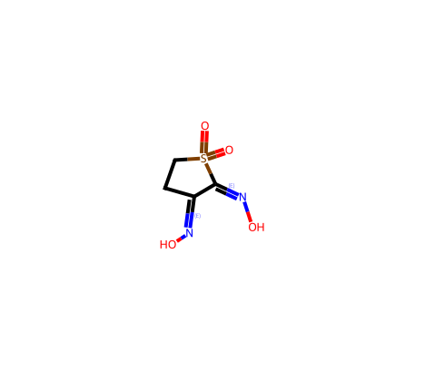 O=S1(=O)CCC(=N\O)/C1=N\O